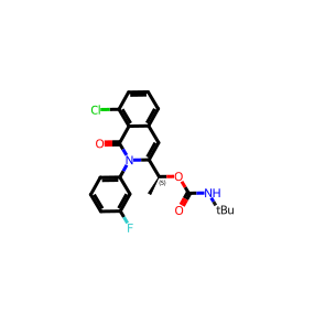 C[C@H](OC(=O)NC(C)(C)C)c1cc2cccc(Cl)c2c(=O)n1-c1cccc(F)c1